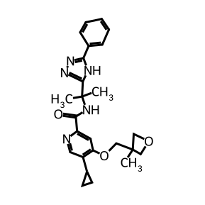 CC1(COc2cc(C(=O)NC(C)(C)c3nnc(-c4ccccc4)[nH]3)ncc2C2CC2)COC1